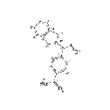 O=CN(c1ccc(C(=O)O)cc1)N1Cc2ccccc2C1